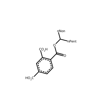 CCCCCCCCCC(CCCCC)OC(=O)c1ccc(C(=O)O)cc1C(=O)O